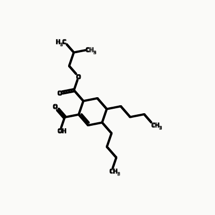 CCCCC1C=C(C(=O)O)C(C(=O)OCC(C)C)CC1CCCC